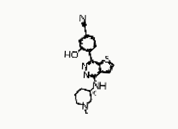 CN1CCC[C@@H](Nc2nnc(-c3ccc(C#N)cc3O)c3sccc23)C1